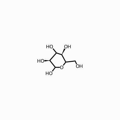 OCC1OC(O)[C@@H](O)C(O)[C@H]1O